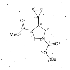 COC(=O)[C@H]1CN(C(=O)OC(C)(C)C)C[C@@H]1C1CC1